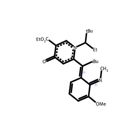 CCOC(=O)c1cn(C(CC)C(C)(C)C)c(/C(=C2\C=CC=C(OC)\C2=N\C)C(C)CC)cc1=O